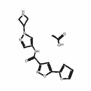 CC(=O)O.O=C(Nc1cnn(C2CNC2)c1)c1cc(-c2ccco2)on1